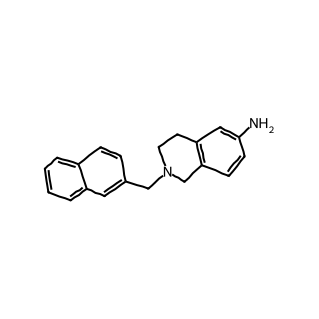 Nc1ccc2c(c1)CCN(Cc1ccc3ccccc3c1)C2